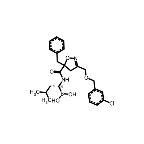 CC(C)C[C@H](NC(=O)C1(Cc2ccccc2)CC(COCc2cccc(Cl)c2)=NO1)B(O)O